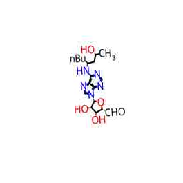 CCCCC(CC(C)O)Nc1ncnc2c1ncn2[C@@H]1O[C@H](C=O)[C@@H](O)[C@H]1O